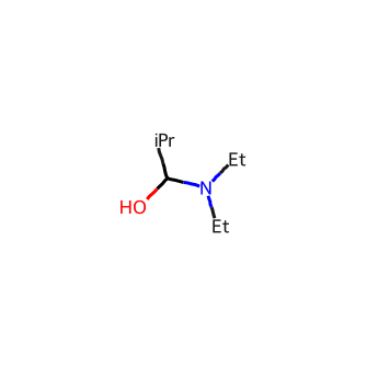 CCN(CC)C(O)C(C)C